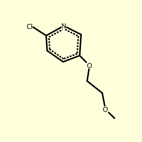 COCCOc1ccc(Cl)nc1